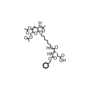 CC(=O)NC1[C@H](OCCCCCCNC(=O)[C@H](CCC(=O)O)NC(=O)OCc2ccccc2)OC(COC(C)=O)[C@H](OC(C)=O)[C@@H]1C